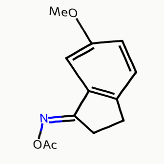 COc1ccc2c(c1)C(=NOC(C)=O)CC2